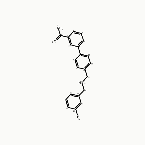 NC(=O)c1cccc(-c2ccc(CNCc3cccc(F)c3)cc2)c1